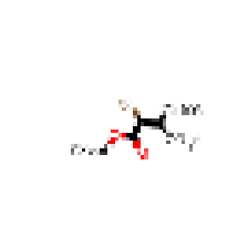 CCCCCOC(=O)C(Br)=C(CCCCC)C(=O)O